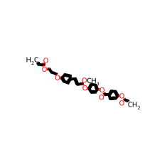 C=CC(=O)OCCCOc1ccc(/C=C/C(=O)Oc2ccc(OC(=O)c3ccc(OC(=O)C=C)cc3)cc2C)cc1